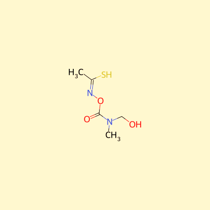 CC(S)=NOC(=O)N(C)CO